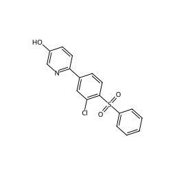 O=S(=O)(c1ccccc1)c1ccc(-c2ccc(O)cn2)cc1Cl